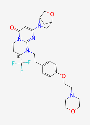 O=c1cc(N2CC3CC2CO3)nc2n1CC[C@@H](C(F)(F)F)N2CCc1ccc(OCCN2CCOCC2)cc1